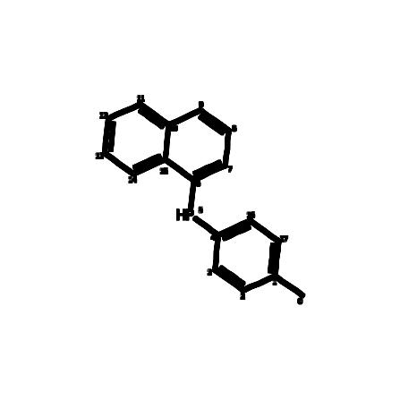 Cc1ccc(Pc2cccc3ccccc23)cc1